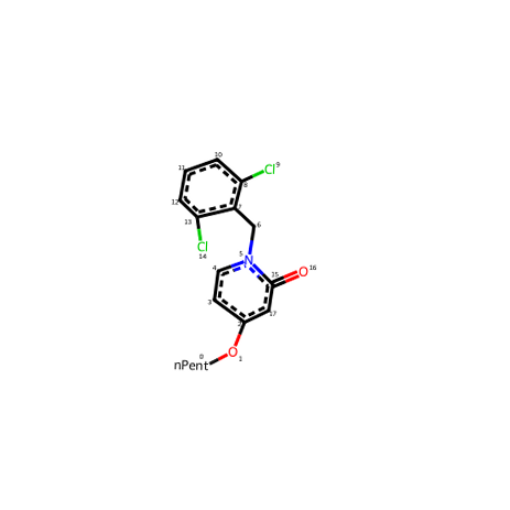 CCCCCOc1ccn(Cc2c(Cl)cccc2Cl)c(=O)c1